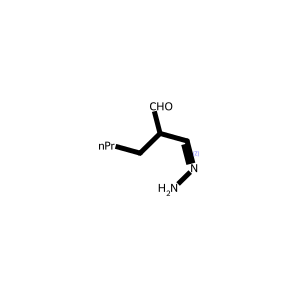 CCCCC(C=O)/C=N\N